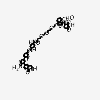 CN(C(=O)c1c(C=O)cccc1NCCOCCOCCOCCC(=O)Nc1ccc(NSc2ccc(-c3cnc(N)c(-c4ccc5c(c4)CCNC5=O)c3)c(F)c2)cc1)C1CCC(=O)NC1=O